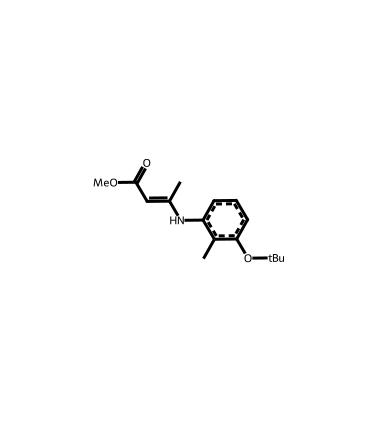 COC(=O)/C=C(\C)Nc1cccc(OC(C)(C)C)c1C